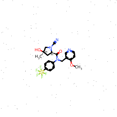 COc1ccncc1CN(C(=O)[C@H]1C[C@@](C)(O)CN1C#N)c1ccc(S(F)(F)(F)(F)F)cc1